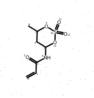 C=CC(=O)NC1CC(C)OS(=O)(=O)O1